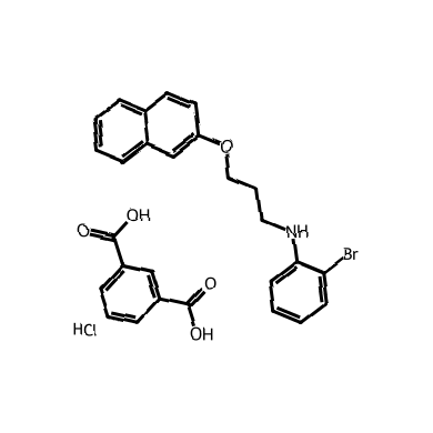 Brc1ccccc1NCCCOc1ccc2ccccc2c1.Cl.O=C(O)c1cccc(C(=O)O)c1